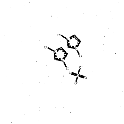 CCn1cc[n+](CC)c1.CCn1cc[n+](CC)c1.O=S(=O)([O-])[O-]